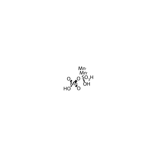 O=S(=O)(O)O.[Mn].[Mn].[O]=[Mn](=[O])(=[O])[OH]